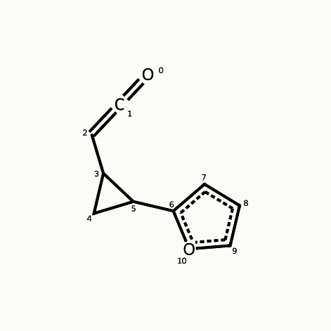 O=C=CC1CC1c1ccco1